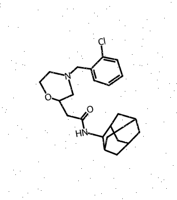 O=C(CC1CN(Cc2ccccc2Cl)CCO1)NC1C2CC3CC(C2)CC1C3